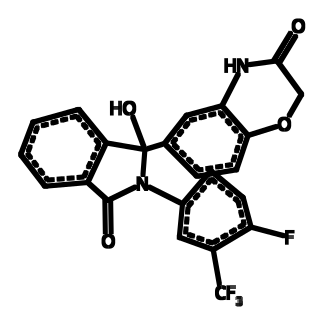 O=C1COc2ccc(C3(O)c4ccccc4C(=O)N3c3ccc(F)c(C(F)(F)F)c3)cc2N1